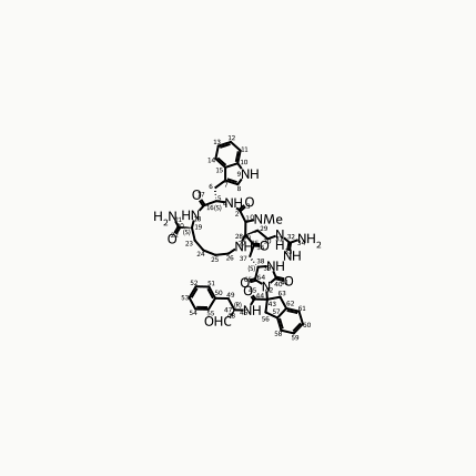 CNC1C(=O)N[C@@H](Cc2c[nH]c3ccccc23)C(=O)N[C@H](C(N)=O)CCCCN[C@@]1(CCNC(=N)N)C(=O)C[C@@H]1NC(=O)N(C2(C(=O)N[C@@H](C=O)Cc3ccccc3)Cc3ccccc3C2)C1=O